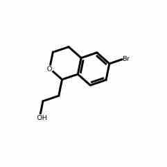 OCCC1OCCc2cc(Br)ccc21